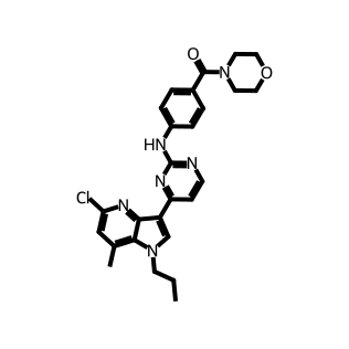 CCCn1cc(-c2ccnc(Nc3ccc(C(=O)N4CCOCC4)cc3)n2)c2nc(Cl)cc(C)c21